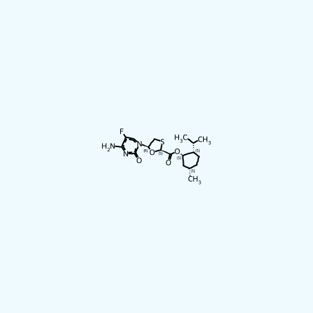 CC(C)[C@@H]1CC[C@H](C)C[C@@H]1OC(=O)[C@H]1O[C@@H](n2cc(F)c(N)nc2=O)CS1